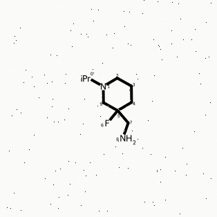 CC(C)N1CCCC(F)(CN)C1